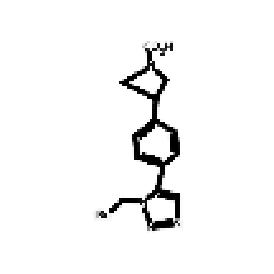 CC(C)(C)Cn1nncc1-c1ccc(C2CN(C(=O)O)C2)cc1